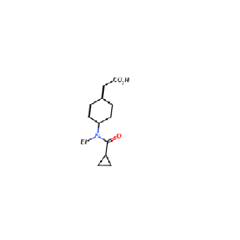 CCN(C(=O)C1CC1)C1CCC(CC(=O)O)CC1